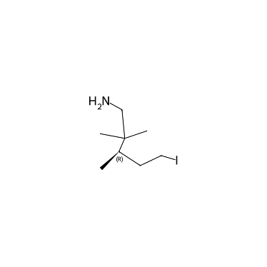 C[C@H](CCI)C(C)(C)CN